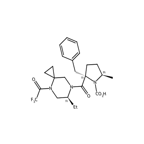 CC[C@H]1CN(C(=O)C(F)(F)F)C2(CC2)CN1C(=O)[C@@]1(Cc2ccccc2)CC[C@@H](C)N1C(=O)O